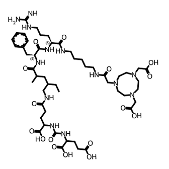 CCC(CNC(=O)CCC(NC(=O)NC(CCC(=O)O)C(=O)O)C(=O)O)CC(C)C(=O)N[C@@H](Cc1ccccc1)C(=O)N[C@@H](CCCNC(=N)N)C(=O)NCCCCCNC(=O)CN1CCN(CC(=O)O)CCN(CC(=O)O)CC1